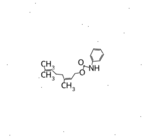 CC(C)=CCCC(C)=CCOC(=O)Nc1ccccc1